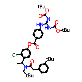 CC(c1ccc(OC(=O)c2ccc(N/C(=N\C(=O)OC(C)(C)C)NC(=O)OC(C)(C)C)cc2)cc1Cl)N(CC(C)(C)C)C(=O)Cc1cccc(C(C)(C)C)c1